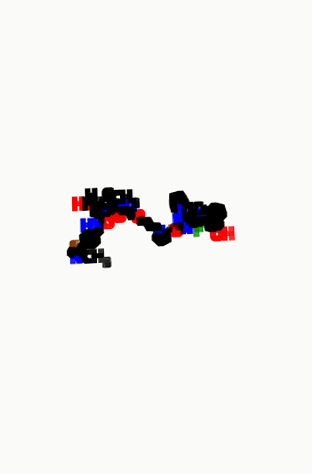 C#Cc1cccc2cc(O)cc(-c3ncc4c(N5CC6CCC(C5)N6)nc(OC[C@@H]5CCCN5CCCCOCCC(=O)N[C@@H](C(=O)N5C[C@@H](O)C[C@@H]5C(=O)NCc5ccc(-c6scnc6C)cc5)C(C)(C)C)nc4c3F)c12